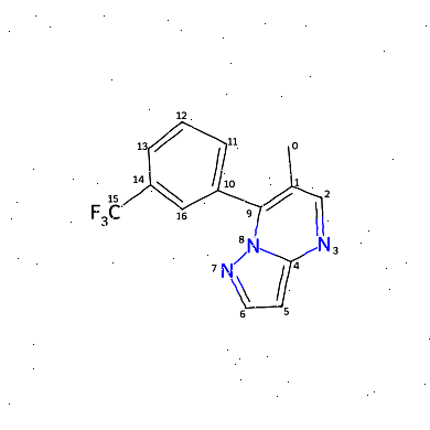 Cc1cnc2ccnn2c1-c1cccc(C(F)(F)F)c1